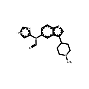 CN1CCC(c2coc3ccc(N(C=O)c4c[nH]cn4)cc23)CC1